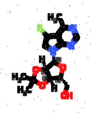 Cc1ncnc2c1c(F)cn2[C@@H]1O[C@H](CO)[C@H]2OC(C)(C)O[C@H]21